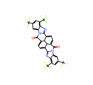 O=C1C2=CC=C3c4nc5c(C(F)(F)F)cc(C(F)(F)F)cc5n4C(=O)C4=CC=C(c5nc6c(C(F)(F)F)cc(C(F)(F)F)cc6n51)C2C43